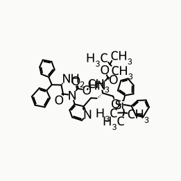 COC(=O)N(C(=O)[C@@H](N)C(c1ccccc1)c1ccccc1)c1cccnc1CC[C@@H](CO[Si](c1ccccc1)(c1ccccc1)C(C)(C)C)NC(=O)OC(C)(C)C